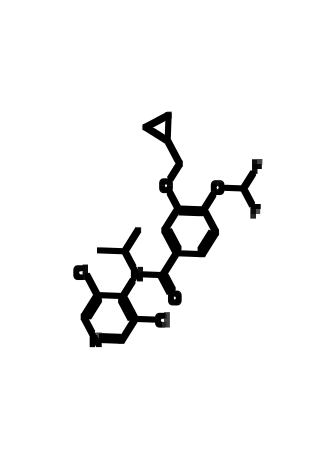 CC(C)N(C(=O)c1ccc(OC(F)F)c(OCC2CC2)c1)c1c(Cl)cncc1Cl